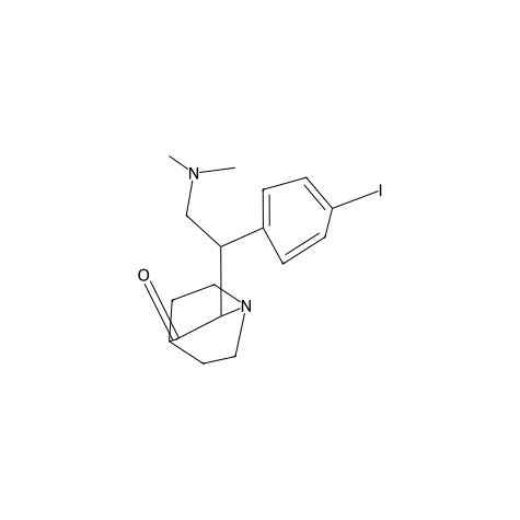 CN(C)CC(c1ccc(I)cc1)C1C(=O)C2CCN1CC2